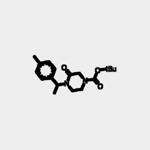 Cc1ccc(C(C)N2CCN(C(=O)OC(C)(C)C)CC2=O)cc1